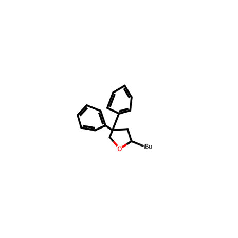 CCC(C)C1CC(c2ccccc2)(c2ccccc2)CO1